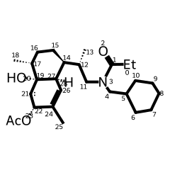 CCC(=O)N(CC1CCCCC1)C[C@@H](C)[C@@H]1CC[C@@H](C)[C@]2(O)[C][C@@H](OC(C)=O)C(C)=C[C@H]12